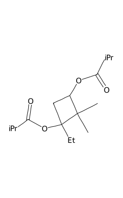 CCC1(OC(=O)C(C)C)CC(OC(=O)C(C)C)C1(C)C